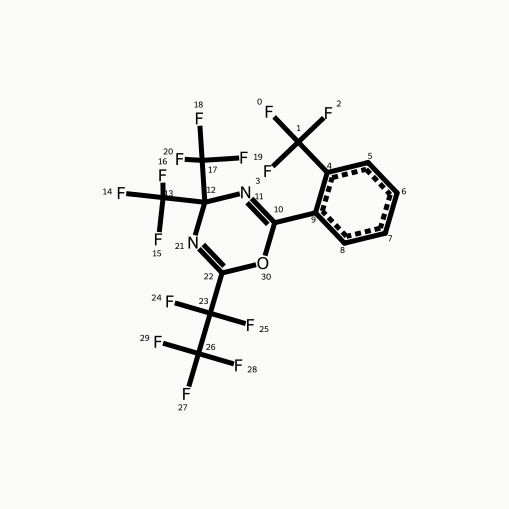 FC(F)(F)c1ccccc1C1=NC(C(F)(F)F)(C(F)(F)F)N=C(C(F)(F)C(F)(F)F)O1